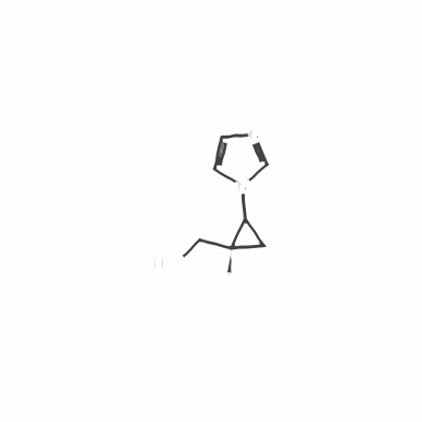 CC[C@@]1(C)CC1n1ccnc1